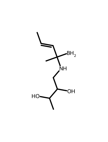 BC(C)(C=CC)NCC(O)C(C)O